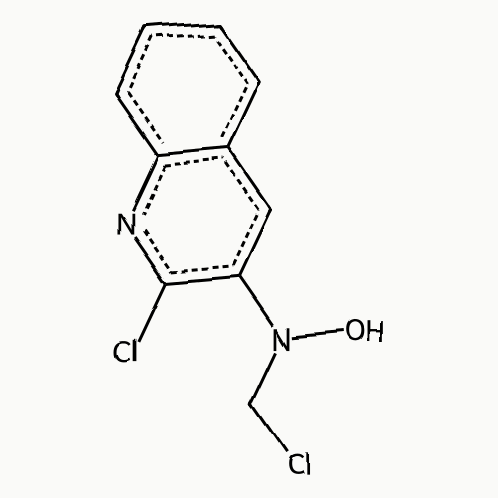 ON(CCl)c1cc2ccccc2nc1Cl